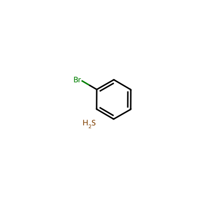 Brc1ccccc1.S